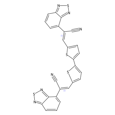 N#C/C(=C\c1ccc(-c2ccc(/C=C(\C#N)c3cccc4nsnc34)s2)s1)c1cccc2nsnc12